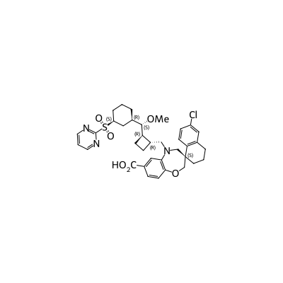 CO[C@@H]([C@@H]1CCC[C@H](S(=O)(=O)c2ncccn2)C1)[C@@H]1CC[C@H]1CN1C[C@@]2(CCCc3cc(Cl)ccc32)COc2ccc(C(=O)O)cc21